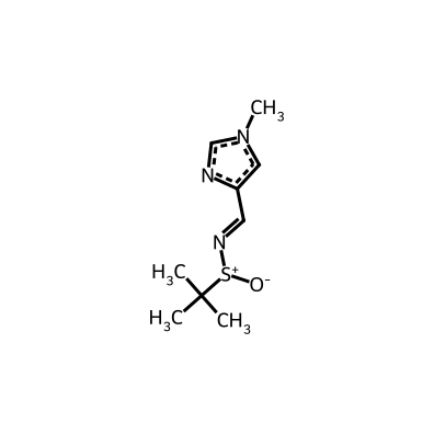 Cn1cnc(/C=N/[S+]([O-])C(C)(C)C)c1